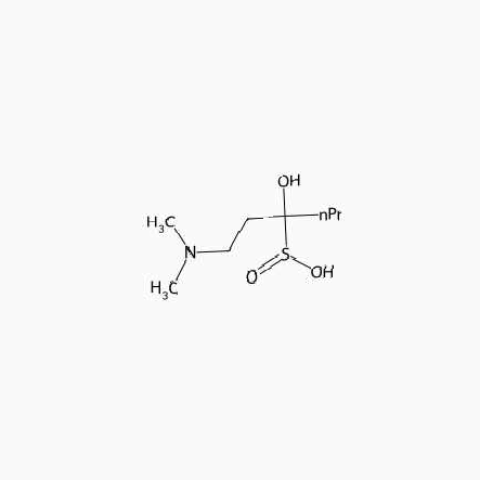 CCCC(O)(CCN(C)C)S(=O)O